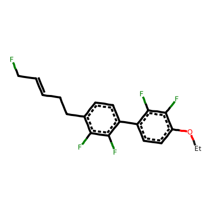 CCOc1ccc(-c2ccc(CCC=CCF)c(F)c2F)c(F)c1F